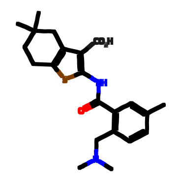 Cc1ccc(CN(C)C)c(C(=O)Nc2sc3c(c2C(=O)O)CC(C)(C)CC3)c1